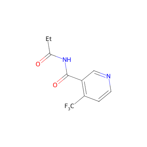 CCC(=O)NC(=O)c1cnccc1C(F)(F)F